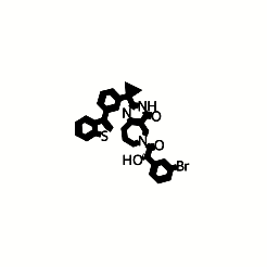 O=C([C@H](O)c1cccc(Br)c1)N1CCCc2nc(C3(c4cccc(-c5csc6ccccc56)c4)CC3)[nH]c(=O)c2C1